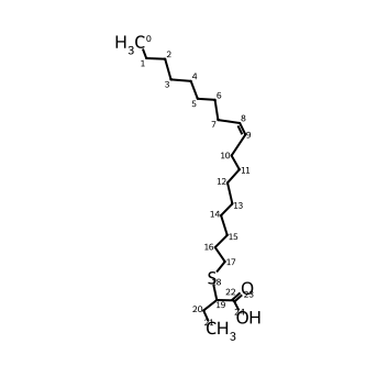 CCCCCCCC/C=C\CCCCCCCCSC(CC)C(=O)O